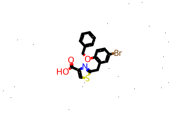 O=C(O)c1csc(Cc2cc(Br)ccc2OCc2ccccc2)n1